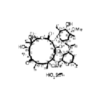 CC[C@H]1OC(=O)[C@H](C)[C@@H](O[C@H]2C[C@@](C)(OC)[C@@H](O)[C@H](C)O2)[C@H](C)[C@@H](O[C@@H]2O[C@H](C)C[C@H](N(C)C)[C@H]2O)[C@](C)(OC)C[C@@H](C)C(=O)[C@H](C)[C@@H](O)[C@]1(C)O.CS(=O)(=O)O